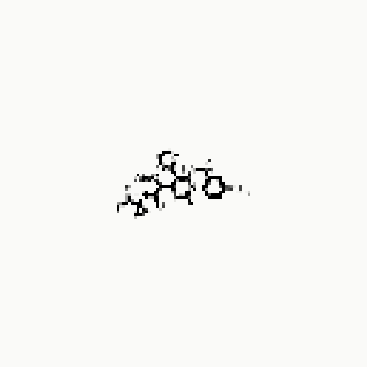 COC(C(=O)NC1(C(F)F)CC1)c1nc(C)nc(N[C@H](C)c2cccc(C(F)(F)F)c2)c1C1OCCO1